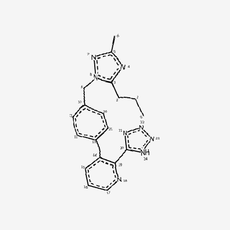 CCCc1nc(C)nn1Cc1ccc(-c2cccnc2-c2nnn[nH]2)cc1